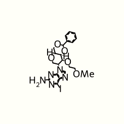 COCCO[C@@H]1[C@@H]2OC(c3ccccc3)OC[C@H]2OC[C@H]1n1cnc2c(I)nc(N)nc21